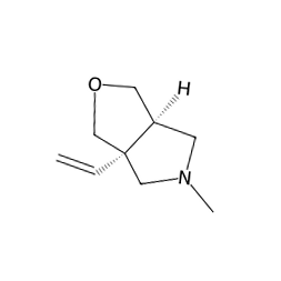 C=C[C@]12COC[C@H]1CN(C)C2